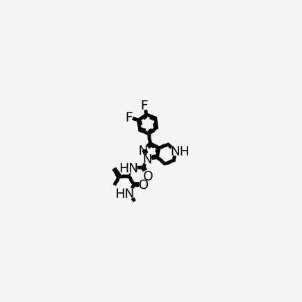 C=C(C)[C@H](NC(=O)n1nc(-c2ccc(F)c(F)c2)c2c1CCNC2)C(=O)NC